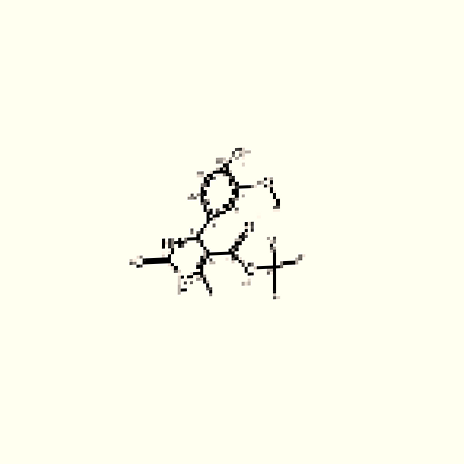 COc1cc(C2NC(=O)NC(C)=C2C(=O)OC(C)(C)C)ccc1O